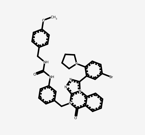 COc1ccc(CNC(=O)Nc2cccc(Cn3c(=O)c4ccccc4n4c(-c5cc(Br)ccc5N5CCCC5)nnc34)c2)cc1